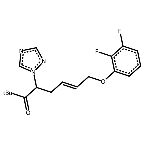 CC(C)(C)C(=O)C(CC=CCOc1cccc(F)c1F)n1cncn1